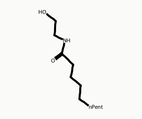 [CH2]CCCCCCCCC(=O)NCCO